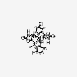 Cc1ccc(F)c([C@@H](C)[C@H](NS(=O)(=O)c2ccc(Cl)cc2-c2n[nH]c(=O)o2)c2n[nH]c(=O)o2)c1C